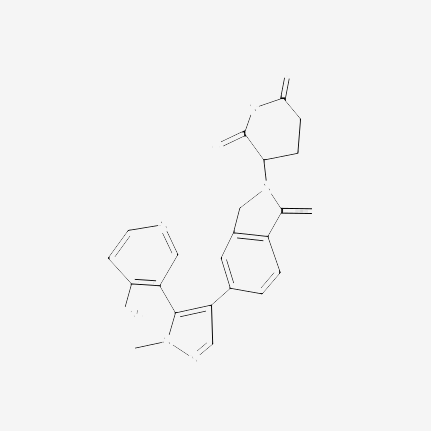 COc1ccncc1-c1c(-c2ccc3c(c2)CN(C2CCC(=O)NC2=O)C3=O)cnn1C